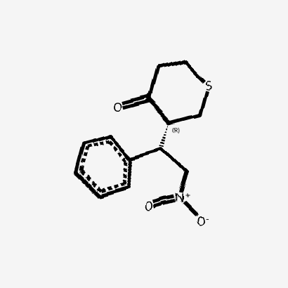 O=C1CCSC[C@@H]1C(C[N+](=O)[O-])c1ccccc1